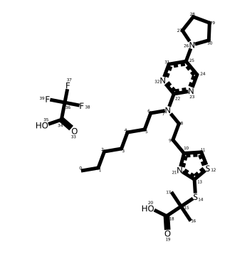 CCCCCCCN(CCc1csc(SC(C)(C)C(=O)O)n1)c1ncc(N2CCCC2)cn1.O=C(O)C(F)(F)F